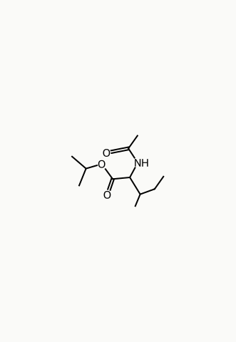 CCC(C)C(NC(C)=O)C(=O)OC(C)C